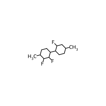 CC1CCC(C2CCC(C)C(F)C2F)C(F)C1